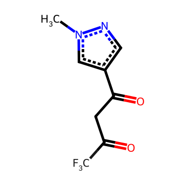 Cn1cc(C(=O)CC(=O)C(F)(F)F)cn1